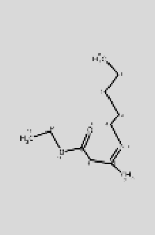 CCCCC/N=C(/C)CC(=O)OCC